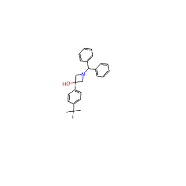 CC(C)(C)c1ccc(C2(O)CN(C(c3ccccc3)c3ccccc3)C2)cc1